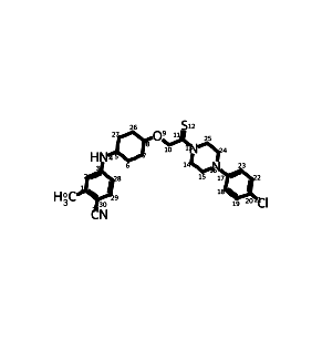 Cc1cc(NC2CCC(OCC(=S)N3CCN(c4ccc(Cl)cc4)CC3)CC2)ccc1C#N